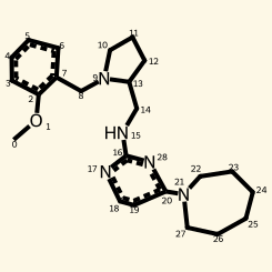 COc1ccccc1CN1CCCC1CNc1nccc(N2CCCCCC2)n1